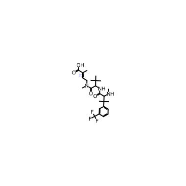 CNC(C(=O)NC(C(=O)N(C)C/C=C(\C)C(=O)O)C(C)(C)C)C(C)(C)c1cccc(C(F)(F)F)c1